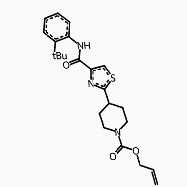 C=CCOC(=O)N1CCC(c2nc(C(=O)Nc3ccccc3C(C)(C)C)cs2)CC1